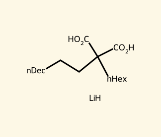 CCCCCCCCCCCCC(CCCCCC)(C(=O)O)C(=O)O.[LiH]